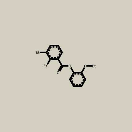 CCOc1ccccc1OC(=O)c1cccc(CC)c1CC